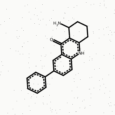 NC1CCCc2[nH]c3ccc(-c4ccccc4)cc3c(=O)c21